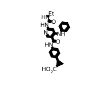 CCNC(=O)Nc1cc(Nc2ccccc2)c(C(=O)Nc2ccc(C3CC3C(=O)O)cc2)cn1